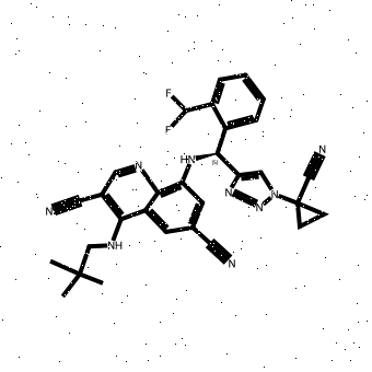 CC(C)(C)CNc1c(C#N)cnc2c(N[C@H](c3cn(C4(C#N)CC4)nn3)c3ccccc3C(F)F)cc(C#N)cc12